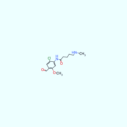 CNCCCCC(=O)Nc1cc(OC)c(C=O)cc1Cl